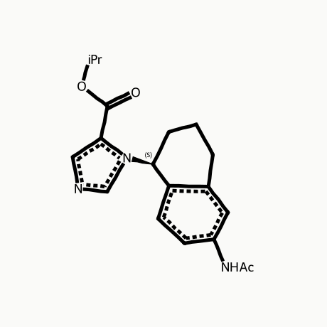 CC(=O)Nc1ccc2c(c1)CCC[C@@H]2n1cncc1C(=O)OC(C)C